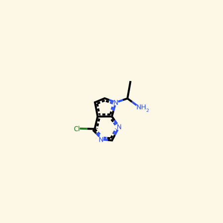 CC(N)n1ccc2c(Cl)ncnc21